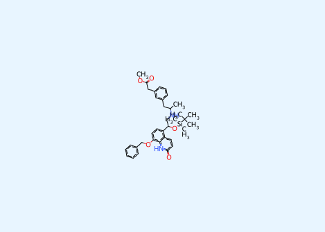 COC(=O)Cc1cccc(CC(C)NCC(O[Si](C)(C)C(C)(C)C)c2ccc(OCc3ccccc3)c3[nH]c(=O)ccc23)c1